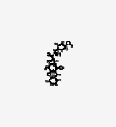 COc1ccc(CNC(=S)c2cn3c(=O)n(Cc4ccccc4)c(=O)c(C)c3s2)cc1